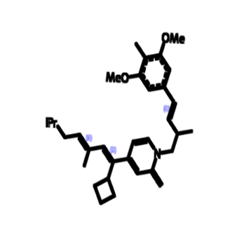 C=C1C=C(/C(=C/C(C)=C/CC(C)C)C2CCC2)C=CN1CC(C)/C=C/c1cc(OC)c(C)c(OC)c1